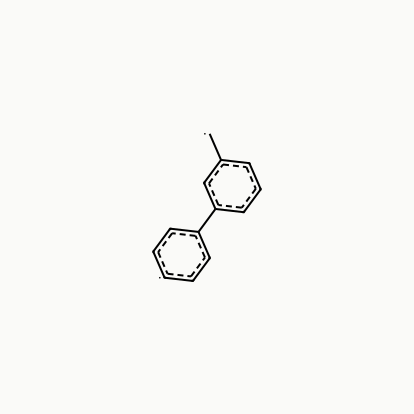 [CH2]c1cccc(-c2cc[c]cc2)c1